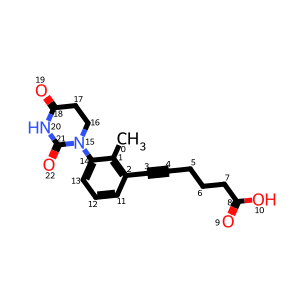 Cc1c(C#CCCCC(=O)O)cccc1N1CCC(=O)NC1=O